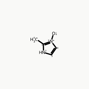 Cc1[nH]cc[n+]1[O-]